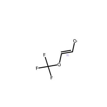 [O]/C=C/OC(F)(F)F